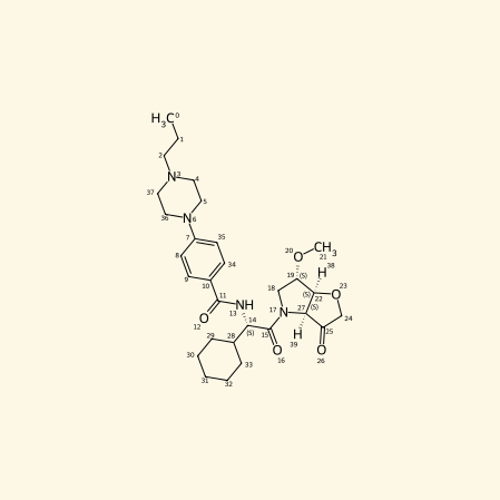 CCCN1CCN(c2ccc(C(=O)N[C@H](C(=O)N3C[C@H](OC)[C@H]4OCC(=O)[C@H]43)C3CCCCC3)cc2)CC1